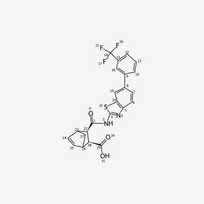 O=C(Nc1nc2ccc(-c3cccc(C(F)(F)F)c3)cc2s1)[C@@H]1C2C=CC(C2)[C@@H]1C(=O)O